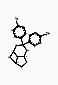 Oc1ccc(C2(c3ccc(O)cc3)CC3CCC4CC(C2)C43)cc1